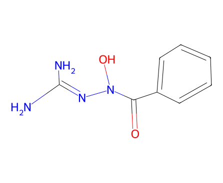 NC(N)=NN(O)C(=O)c1ccccc1